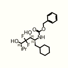 CC(C)[C@@H](O)C(F)(F)[C@H](O)[C@H](CC1CCCCC1)NC(=O)OCc1ccccc1